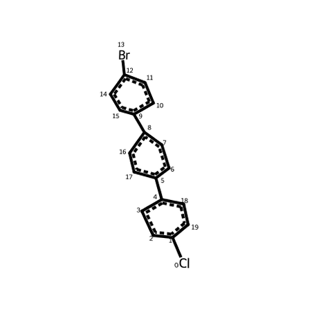 Clc1ccc(-c2ccc(-c3ccc(Br)cc3)cc2)cc1